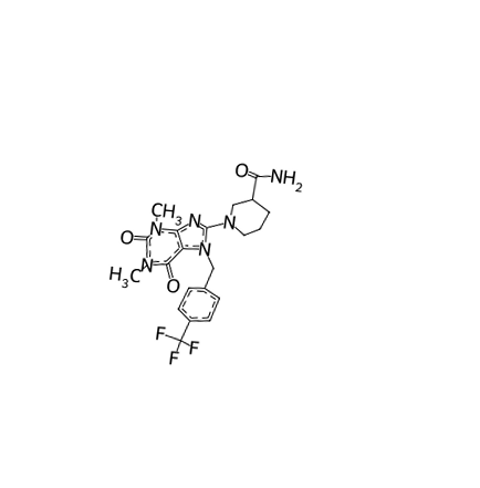 Cn1c(=O)c2c(nc(N3CCCC(C(N)=O)C3)n2Cc2ccc(C(F)(F)F)cc2)n(C)c1=O